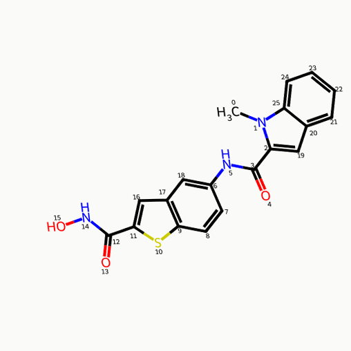 Cn1c(C(=O)Nc2ccc3sc(C(=O)NO)cc3c2)cc2ccccc21